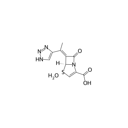 C/C(=C1\C(=O)N2C(C(=O)O)=CS[C@@H]12)c1c[nH]nn1.O